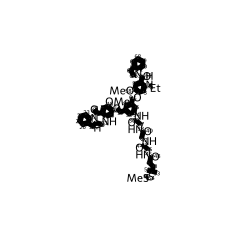 CCNc1cc(OCc2cc(COc3cc4c(cc3OC)C(=O)N3c5ccccc5C[C@H]3CN4)cc(NC(=O)CNC(=O)CNC(=O)CNC(=O)CCC(C)(C)SSC)c2)c(OC)cc1C(=O)N1CCc2ccccc21